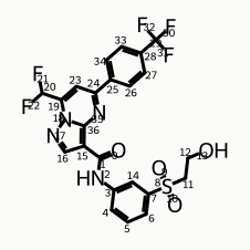 O=C(Nc1cccc(S(=O)(=O)CCO)c1)c1cnn2c(C(F)F)cc(-c3ccc(C(F)(F)F)cc3)nc12